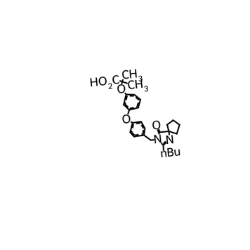 CCCCC1=NC2(CCCC2)C(=O)N1Cc1ccc(Oc2cccc(OC(C)(C)C(=O)O)c2)cc1